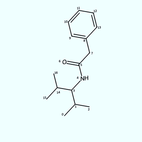 CC(C)C(NC(=O)Cc1ccccc1)C(C)C